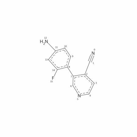 N#Cc1ccncc1-c1ccc(N)cc1F